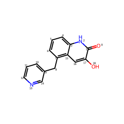 O=c1[nH]c2cccc(Cc3cccnc3)c2cc1O